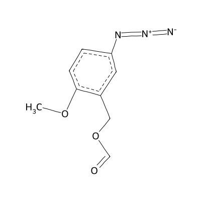 COc1ccc(N=[N+]=[N-])cc1COC=O